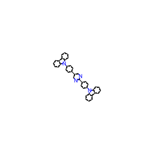 c1ccc2c(c1)c1ccccc1n2-c1ccc(-c2cnc(-c3ccc(-n4c5ccccc5c5ccccc54)cc3)nc2)cc1